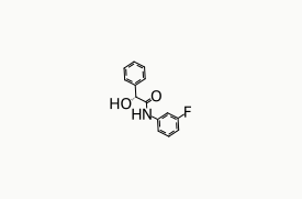 O=C(Nc1cccc(F)c1)[C@H](O)c1ccccc1